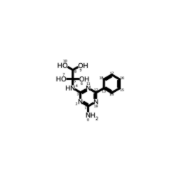 Nc1nc(NC(O)(O)C(O)O)nc(-c2ccccc2)n1